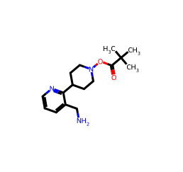 CC(C)(C)C(=O)ON1CCC(c2ncccc2CN)CC1